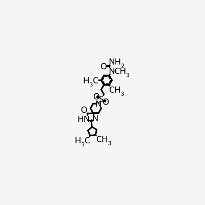 Cc1cc(N(C)C(N)=O)cc(C)c1CCS(=O)(=O)N1CCC2(CC1)N=C(C1C[C@@H](C)[C@@H](C)C1)NC2=O